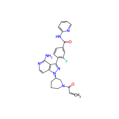 C=CC(=O)N1CCC[C@@H](n2nc(-c3ccc(C(=O)Nc4ccccn4)cc3F)c3c(N)nccc32)C1